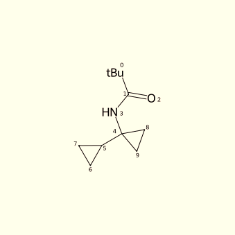 CC(C)(C)C(=O)NC1(C2CC2)CC1